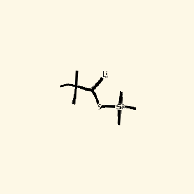 [Li][CH](S[Si](C)(C)C)C(C)(C)C